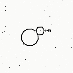 CCN1CCN2CCCCCCCCCCC2C1